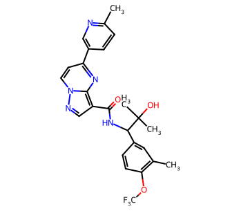 Cc1ccc(-c2ccn3ncc(C(=O)NC(c4ccc(OC(F)(F)F)c(C)c4)C(C)(C)O)c3n2)cn1